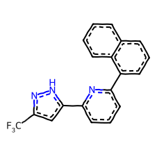 FC(F)(F)c1cc(-c2cccc(-c3cccc4ccccc34)n2)[nH]n1